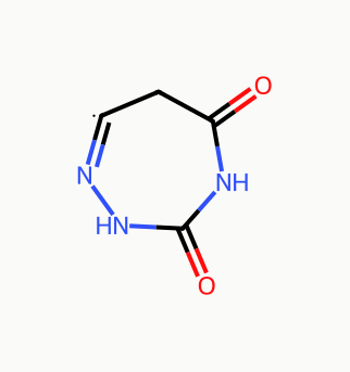 O=C1C[C]=NNC(=O)N1